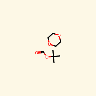 C1COCCO1.CC(C)(C)OC=O